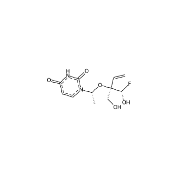 C=C[C@](CO)(O[C@H](C)n1ccc(=O)[nH]c1=O)[C@@H](O)F